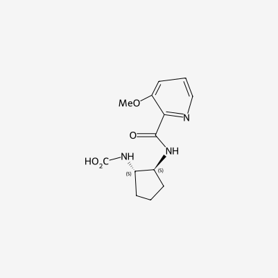 COc1cccnc1C(=O)N[C@H]1CCC[C@@H]1NC(=O)O